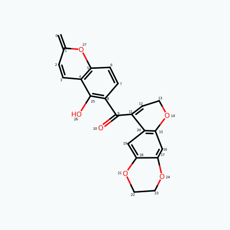 C=C1C=Cc2c(ccc(C(=O)C3=CCOc4cc5c(cc43)OCCO5)c2O)O1